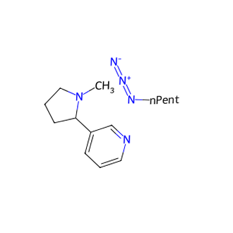 CCCCCN=[N+]=[N-].CN1CCCC1c1cccnc1